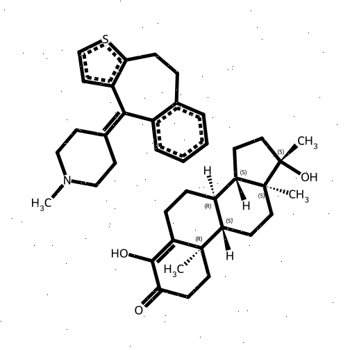 CN1CCC(=C2c3ccccc3CCc3sccc32)CC1.C[C@]12CCC(=O)C(O)=C1CC[C@@H]1[C@@H]2CC[C@@]2(C)[C@H]1CC[C@]2(C)O